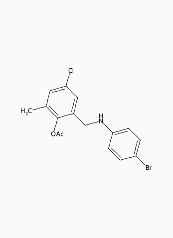 CC(=O)Oc1c(C)cc(Cl)cc1CNc1ccc(Br)cc1